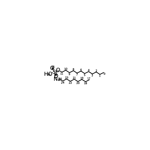 CCCCCCCCCCCCOS(=O)(=O)O.CCCCCCC[CH2][Na]